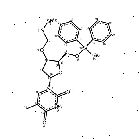 CSSCOC1C[C@H](n2cc(C)c(=O)[nH]c2=O)O[C@@H]1CO[Si](c1ccccc1)(c1ccccc1)C(C)(C)C